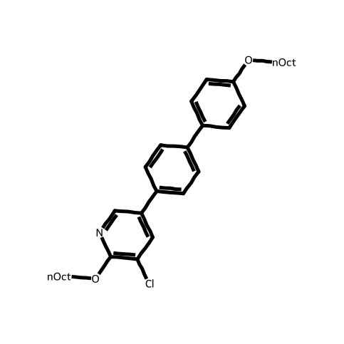 CCCCCCCCOc1ccc(-c2ccc(-c3cnc(OCCCCCCCC)c(Cl)c3)cc2)cc1